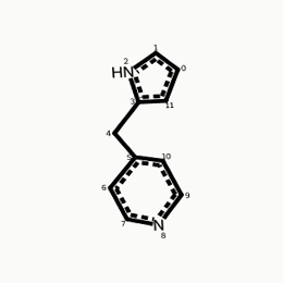 c1c[nH]c(Cc2ccncc2)c1